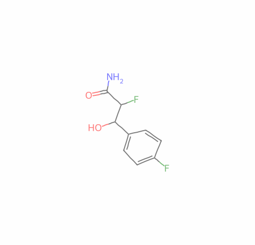 NC(=O)C(F)C(O)c1ccc(F)cc1